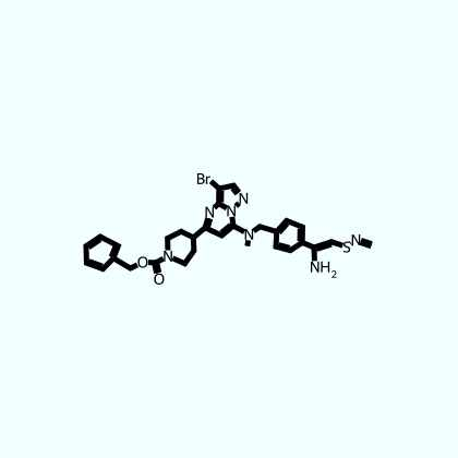 C=NS/C=C(\N)c1ccc(CN(C)c2cc(C3CCN(C(=O)OCc4ccccc4)CC3)nc3c(Br)cnn23)cc1